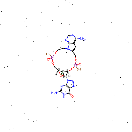 Nc1nc2c(nnn2[C@@H]2O[C@@H]3COP(=O)(S)OCCn4c(cc5c(N)ncnc54)COP(=O)(S)O[C@@H]2[C@@H]3F)c(=O)[nH]1